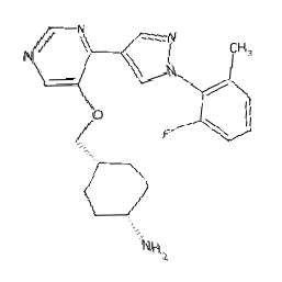 Cc1cccc(F)c1-n1cc(-c2ncncc2OC[C@H]2CC[C@@H](N)CC2)cn1